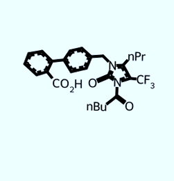 CCCCC(=O)n1c(C(F)(F)F)c(CCC)n(Cc2ccc(-c3ccccc3C(=O)O)cc2)c1=O